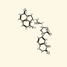 O=C1CSc2ccc(N3C[C@H](CNC[C@H]4Cn5c(=O)ccc6ccc(F)c4c65)OC3=O)cc2N1